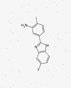 Cc1ccc(-c2nc3cc(F)ccc3[se]2)cc1N